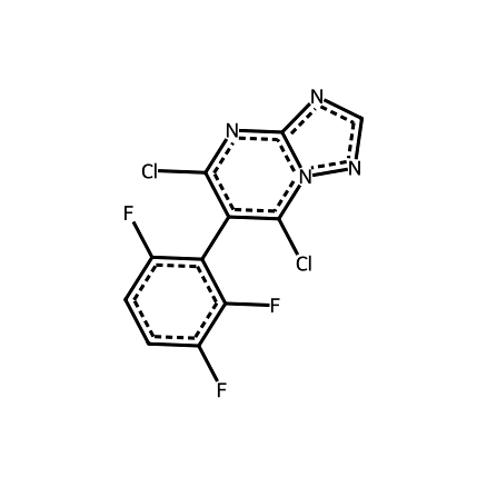 Fc1ccc(F)c(-c2c(Cl)nc3ncnn3c2Cl)c1F